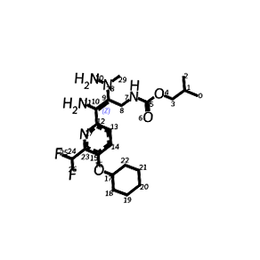 CC(C)COC(=O)NC/C(=C(/N)c1ccc(OC2CCCCC2)c(C(F)F)n1)N(C)N